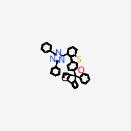 c1ccc(-c2nc(-c3ccccc3)nc(-c3cccc4sc5c6c(ccc5c34)C3(c4ccccc4O6)c4ccccc4-c4ccccc43)n2)cc1